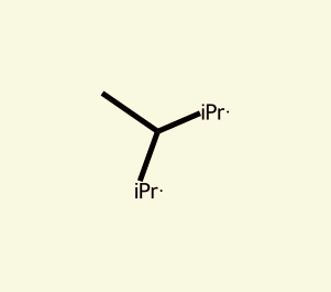 C[C](C)C(C)[C](C)C